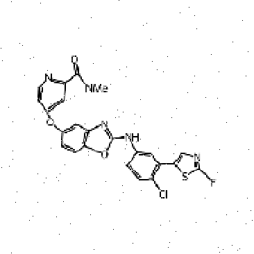 CNC(=O)c1cc(Oc2ccc3oc(Nc4ccc(Cl)c(-c5cnc(F)s5)c4)nc3c2)ccn1